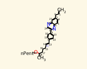 C=CCc1ccc2nc(-c3ccc(/C=C/CCCC(C)OCCCCC)cc3)cnc2c1